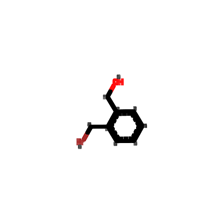 OCc1ccccc1CBr